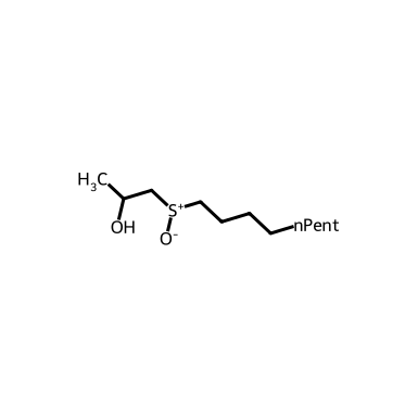 CCCCCCCCC[S+]([O-])CC(C)O